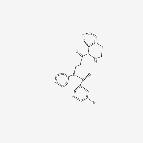 O=C(CCN(C(=O)c1cncc(Br)c1)c1ccccc1)C1NCCc2ccccc21